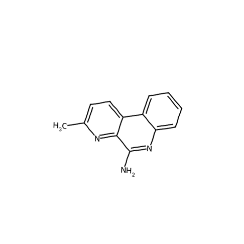 Cc1ccc2c(n1)c(N)nc1ccccc12